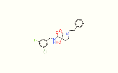 O=C(NCc1cc(F)cc(Cl)c1)C1(O)CCN(CCc2ccccc2)C1=O